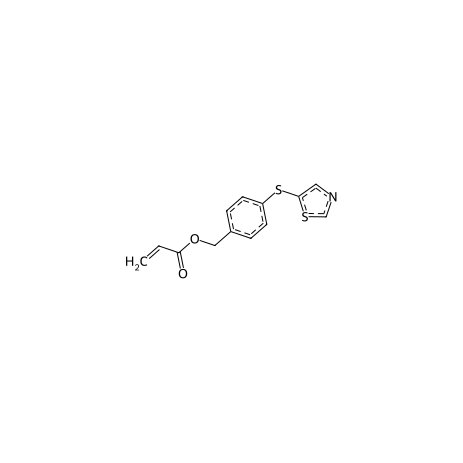 C=CC(=O)OCc1ccc(Sc2cncs2)cc1